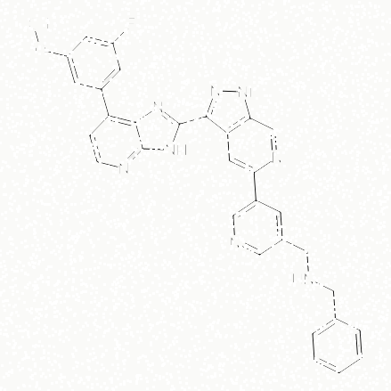 COc1cc(F)cc(-c2ccnc3[nH]c(-c4n[nH]c5cnc(-c6cncc(CNCc7ccccc7)c6)cc45)nc23)c1